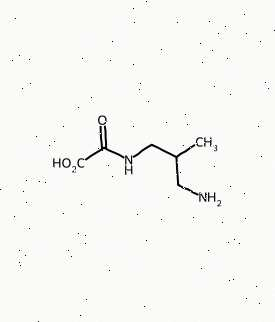 CC(CN)CNC(=O)C(=O)O